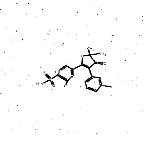 CC1(C)OC(c2ccc(S(N)(=O)=O)c(F)c2)=C(c2cccc(F)c2)C1=O